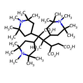 CN1C(C)(C)CC(C(C(=O)O)(C2CC(C)(C)N(C)C(C)(C)C2)C(C(=O)O)(C2CC(C)(C)N(C)C(C)(C)C2)C(CC(=O)O)C(=O)O)CC1(C)C